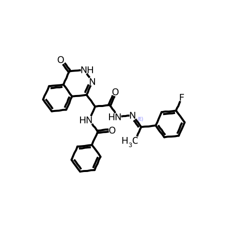 C/C(=N\NC(=O)C(NC(=O)c1ccccc1)c1n[nH]c(=O)c2ccccc12)c1cccc(F)c1